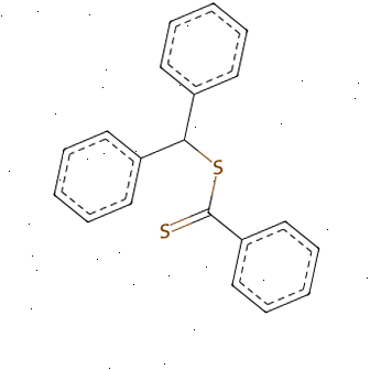 S=C(SC(c1ccccc1)c1ccccc1)c1ccccc1